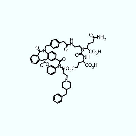 NC(=O)CCC(C(=O)O)N(CCNC(=O)Cc1ccc(CN2C(=O)c3ccccc3S(=O)(=O)c3cc(C(=O)N(CCCN4CCC(Cc5ccccc5)CC4)c4ccccc4)ccc32)cc1)C(=O)NC(CCC(=O)O)C(=O)O